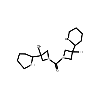 O=C(N1CC(O)(C2CCCCN2)C1)N1CC(O)(C2CCCCN2)C1